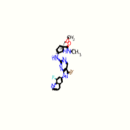 CNC(=O)[C@]1(COC)CC[C@@H](Nc2ncc3c(Br)nn(-c4cc(F)c5ncccc5c4)c3n2)C1